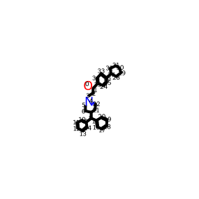 O=C(CCN1CCC(C(c2ccccc2)c2ccccc2)CC1)c1ccc(C2CCCCC2)cc1